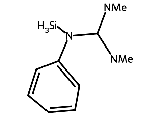 CNC(NC)N([SiH3])c1ccccc1